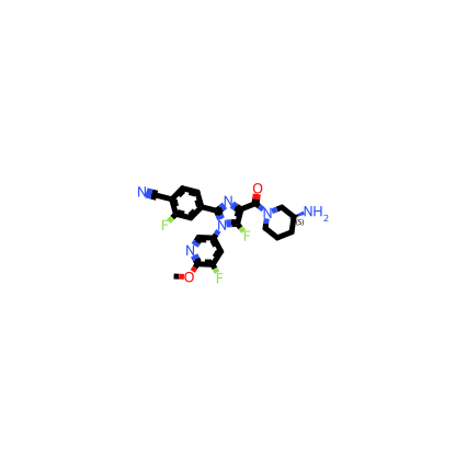 COc1ncc(-n2c(-c3ccc(C#N)c(F)c3)nc(C(=O)N3CCC[C@H](N)C3)c2F)cc1F